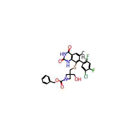 Cc1cc2c(=O)[nH]c(=O)[nH]c2c(SCC2(CO)CN(C(=O)OCc3ccccc3)C2)c1-c1cc(Cl)c(F)cc1F